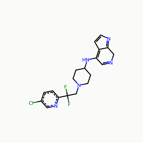 FC(F)(CN1CCC(NC2=C3C=CN=C3CN=C2)CC1)c1ccc(Cl)cn1